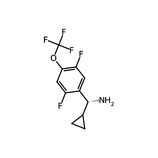 N[C@@H](c1cc(F)c(OC(F)(F)F)cc1F)C1CC1